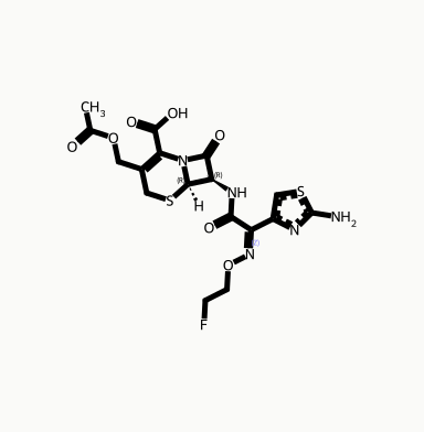 CC(=O)OCC1=C(C(=O)O)N2C(=O)[C@@H](NC(=O)/C(=N\OCCF)c3csc(N)n3)[C@H]2SC1